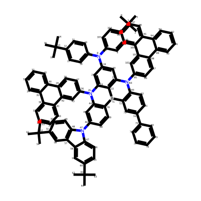 CC(C)(C)c1ccc(N(c2ccc(C(C)(C)C)cc2)c2cc3c4c(c2)N(c2ccc5c6ccccc6c6ccccc6c5c2)c2cc(-n5c6ccc(C(C)(C)C)cc6c6cc(C(C)(C)C)ccc65)ccc2B4c2cc(-c4ccccc4)ccc2N3c2ccc3c4ccccc4c4ccccc4c3c2)cc1